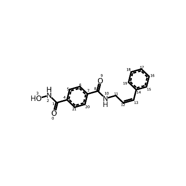 O=C(NO)c1ccc(C(=O)NC/C=C\c2ccccc2)cc1